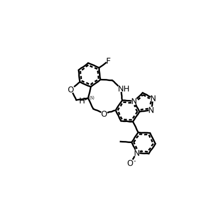 Cc1c(-c2cc3c(n4cnnc24)NCc2c(F)ccc4c2[C@@H](CO4)CO3)ccc[n+]1[O-]